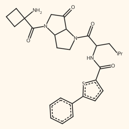 CC(C)CC(NC(=O)c1ccc(-c2ccccc2)s1)C(=O)N1CCC2C1C(=O)CN2C(=O)C1(N)CCC1